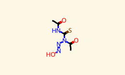 CC(=O)NC(=S)N(N=NO)C(C)=O